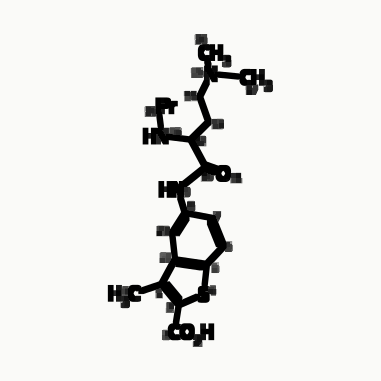 Cc1c(C(=O)O)sc2ccc(NC(=O)C(CCN(C)C)NC(C)C)cc12